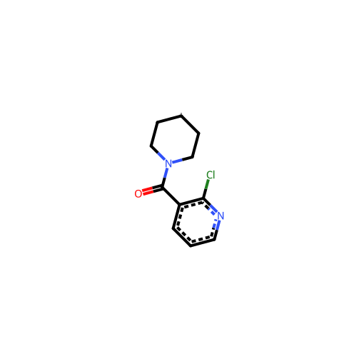 O=C(c1cccnc1Cl)N1CC[CH]CC1